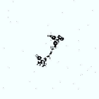 Cc1sc2c(c1C)C(c1ccc(Cl)cc1)=N[C@@H](CC(=O)NCCOCCOCCNC(=O)c1ccc3c(c1)nc(-c1ccnc4ccccc14)n3-c1ccc3[nH]c(=O)[nH]c3c1)c1nnc(C)n1-2